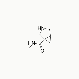 CNC(=O)C12CNCC1C2